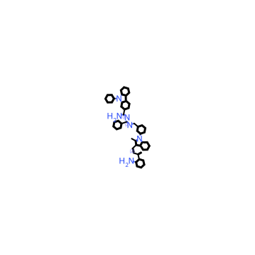 C=C(/C=C\c1c(C)n(-c2cccc(C/N=C(\N=C(/N)c3ccc4c5ccccc5n(-c5ccccc5)c4c3)c3ccccc3)c2)c2ccccc12)c1ccccc1N